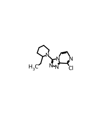 CCC1CCCCN1c1nnc2c(Cl)nccn12